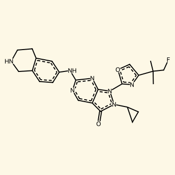 CC(C)(CF)c1coc(-n2c3nc(Nc4ccc5c(c4)CCNC5)ncc3c(=O)n2C2CC2)n1